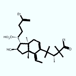 C=C(CC)CC[C@@H](C(=O)O)[C@H]1[C@H](O)C[C@@]2(C)/C(=C/C)C(C(C)(C)[C@@H](C)C(C)(C)C(=O)CC)=CC[C@]12C